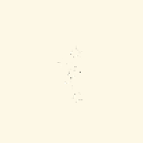 O=C(OCc1ccccc1)c1cc(Cl)c(OCc2ccccc2)c(C2OCCO2)c1